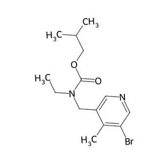 CCN(Cc1cncc(Br)c1C)C(=O)OCC(C)C